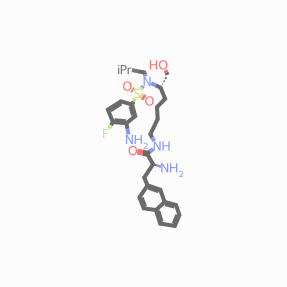 CC(C)CN([C@H](CO)CCCCNC(=O)[C@@H](N)Cc1ccc2ccccc2c1)S(=O)(=O)c1ccc(F)c(N)c1